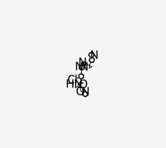 CC(COc1ccccn1)NC(=O)c1ccc(-c2cnc3ncc(C4(c5ccc6ncccc6c5)CC4)n3c2)cc1Cl